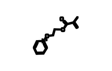 C=C(C)C(=O)OCCO[n+]1ccccc1